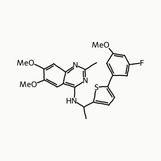 COc1cc(F)cc(-c2ccc(C(C)Nc3nc(C)nc4cc(OC)c(OC)cc34)s2)c1